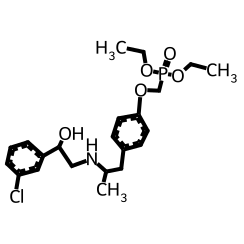 CCOP(=O)(COc1ccc(CC(C)NCC(O)c2cccc(Cl)c2)cc1)OCC